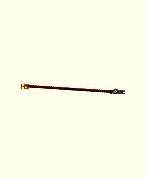 CCCCCCCCCCCCCCCCCCCCCCCCCCCCCCCCCCCCCCCCCCCCCCCCCCCCCCCCCCCCCCCCCCCCCCCCCCCCCCCCCCCCCCCCCCS